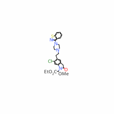 CCOC(=O)C(OC)N1C(=O)Cc2cc(CCN3CCN(c4nsc5ccccc45)CC3)c(Cl)cc21